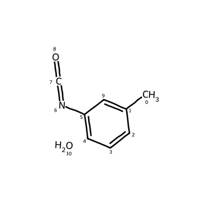 Cc1cccc(N=C=O)c1.O